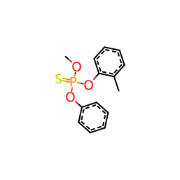 COP(=S)(Oc1ccccc1)Oc1ccccc1C